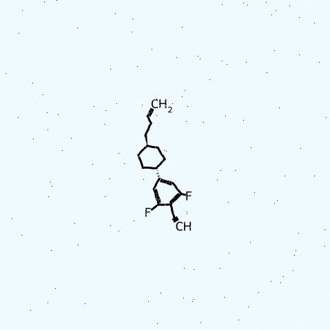 C#Cc1c(F)cc([C@H]2CC[C@H](CCC=C)CC2)cc1F